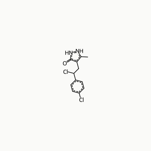 Cc1[nH][nH]c(=O)c1CC(Cl)c1ccc(Cl)cc1